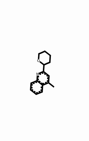 Cc1cc(C2CCCCO2)nc2ccccc12